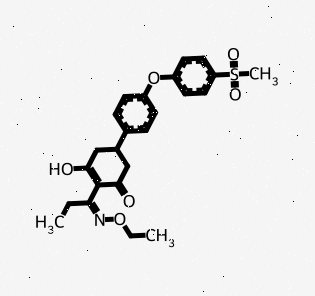 CCO/N=C(/CC)C1=C(O)CC(c2ccc(Oc3ccc(S(C)(=O)=O)cc3)cc2)CC1=O